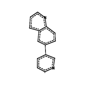 [c]1ccc(-c2ccc3ncccc3c2)cn1